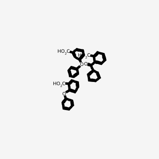 O=C(O)c1cccc(Oc2ccccc2)c1.O=C(O)c1ccccc1C(=O)c1ccccc1.O=C(O)c1ccccc1Oc1ccccc1